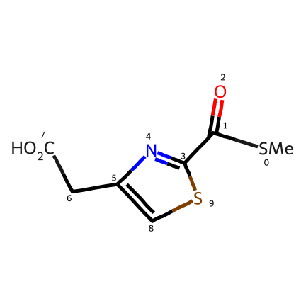 CSC(=O)c1nc(CC(=O)O)cs1